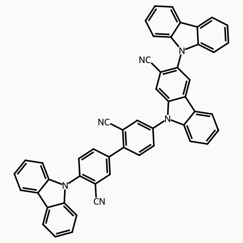 N#Cc1cc(-n2c3ccccc3c3cc(-n4c5ccccc5c5ccccc54)c(C#N)cc32)ccc1-c1ccc(-n2c3ccccc3c3ccccc32)c(C#N)c1